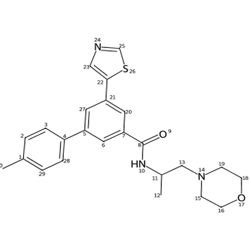 Cc1ccc(-c2cc(C(=O)NC(C)CN3CCOCC3)cc(-c3cncs3)c2)cc1